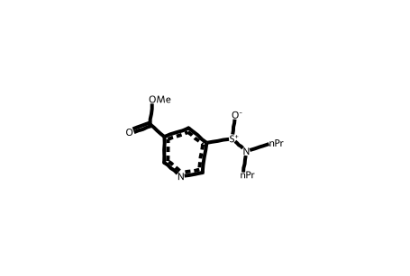 CCCN(CCC)[S+]([O-])c1cncc(C(=O)OC)c1